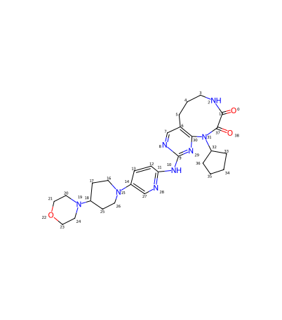 O=C1NCCCc2cnc(Nc3ccc(N4CCC(N5CCOCC5)CC4)cn3)nc2N(C2CCCC2)C1=O